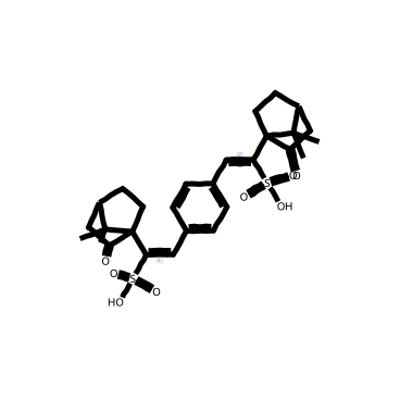 CC1(C)C2CCC1(/C(=C/c1ccc(/C=C(\C34CCC(CC3=O)C4(C)C)S(=O)(=O)O)cc1)S(=O)(=O)O)C(=O)C2